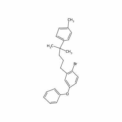 Cc1ccc(C(C)(C)CCCc2cc(Oc3ccccc3)ccc2Br)cc1